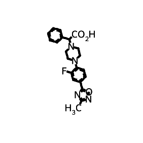 Cc1noc(-c2ccc(N3CCN(C(C(=O)O)c4ccccc4)CC3)c(F)c2)n1